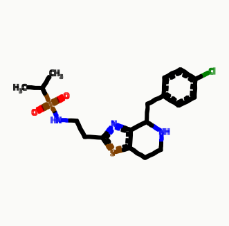 CC(C)S(=O)(=O)NCCc1nc2c(s1)CCNC2Cc1ccc(Cl)cc1